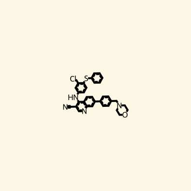 N#Cc1cnc2cc(-c3ccc(CN4CCOCC4)cc3)ccc2c1Nc1ccc(Sc2ccccc2)c(Cl)c1